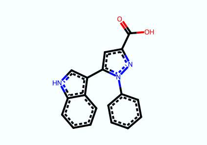 O=C(O)c1cc(-c2c[nH]c3ccccc23)n(-c2ccccc2)n1